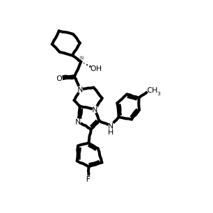 Cc1ccc(Nc2c(-c3ccc(F)cc3)nc3n2CCN(C(=O)[C@@H](O)C2CCCCC2)C3)cc1